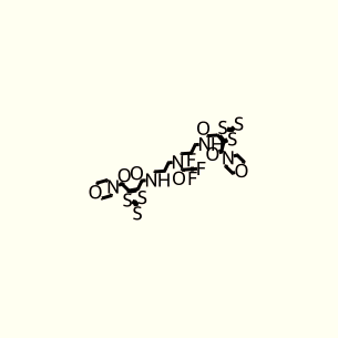 O=C(NCCCN(CCCNC(=O)c1sc(=S)sc1C(=O)N1CCOCC1)C(=O)C(F)(F)F)c1sc(=S)sc1C(=O)N1CCOCC1